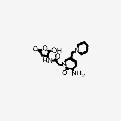 NC1CC=C(CN2CCCCC2)CN(CC(=O)NC2CC(=O)OC2O)C1=O